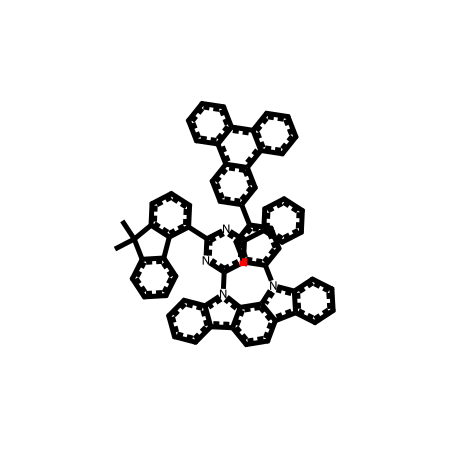 CC1(C)c2ccccc2-c2c(-c3nc(-c4ccccc4)nc(-n4c5ccccc5c5ccc6c7ccccc7n(-c7ccc(-c8ccc9c%10ccccc%10c%10ccccc%10c9c8)cc7)c6c54)n3)cccc21